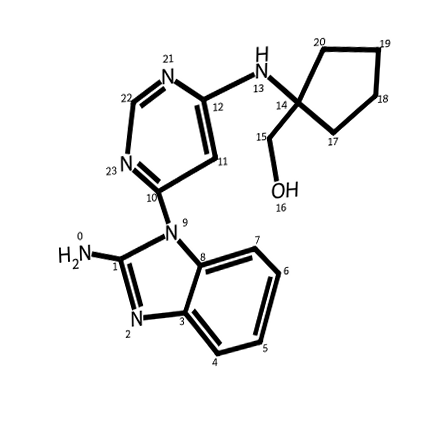 Nc1nc2ccccc2n1-c1cc(NC2(CO)CCCC2)ncn1